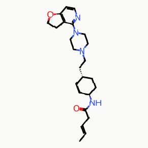 CC=CCC(=O)N[C@H]1CC[C@H](CCN2CCN(c3nccc4c3CCO4)CC2)CC1